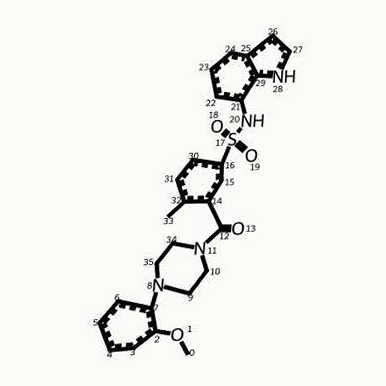 COc1ccccc1N1CCN(C(=O)c2cc(S(=O)(=O)Nc3cccc4cc[nH]c34)ccc2C)CC1